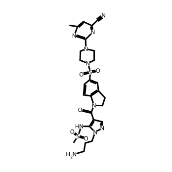 Cc1cc(C#N)nc(N2CCN(S(=O)(=O)c3ccc4c(c3)CCN4C(=O)c3cnn(CCCN)c3NS(C)(=O)=O)CC2)n1